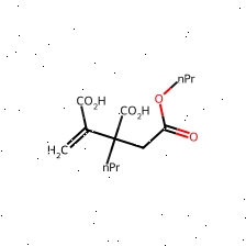 C=C(C(=O)O)C(CCC)(CC(=O)OCCC)C(=O)O